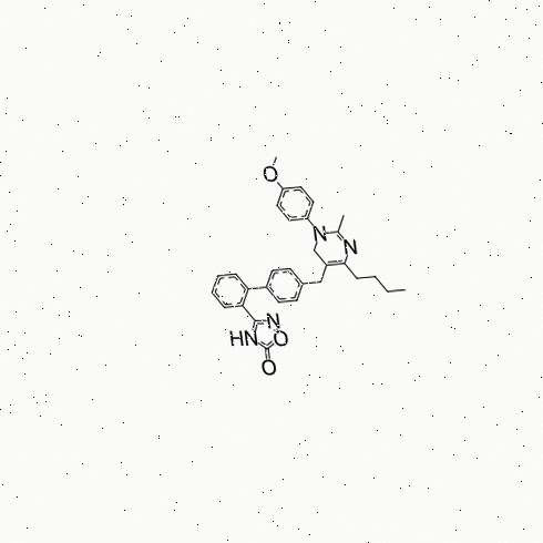 CCCCC1=C(Cc2ccc(-c3ccccc3-c3noc(=O)[nH]3)cc2)CN(c2ccc(OC)cc2)C(C)=N1